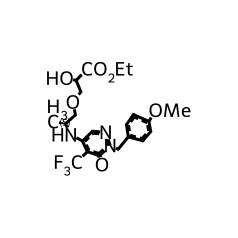 CCOC(=O)C(O)COC[C@H](C)Nc1cnn(Cc2ccc(OC)cc2)c(=O)c1C(F)(F)F